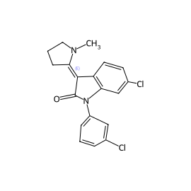 CN1CCC/C1=C1\C(=O)N(c2cccc(Cl)c2)c2cc(Cl)ccc21